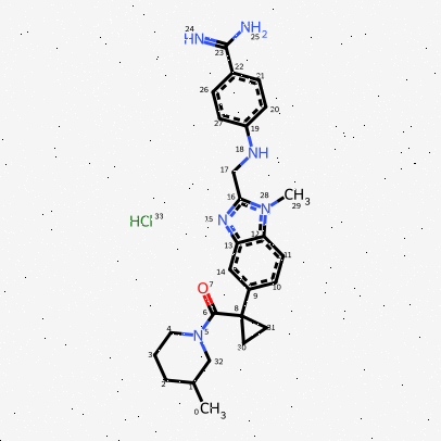 CC1CCCN(C(=O)C2(c3ccc4c(c3)nc(CNc3ccc(C(=N)N)cc3)n4C)CC2)C1.Cl